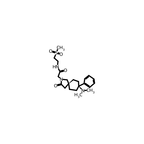 CN(C)[C@]1(c2ccccc2)CC[C@@]2(CC1)CC(=O)N(CC(=O)NCCS(C)(=O)=O)C2